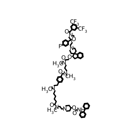 CN(CCCCCC(=O)N(C)CCN1CCC(OC(=O)Nc2ccccc2-c2ccccc2)CC1)CCc1ccc(C(=O)N(C)CCCN(C)C(=O)CO[C@H]2Cc3ccccc3C23CCN(CC[C@@]2(c4ccc(F)cc4)CN(C(=O)c4cc(C(F)(F)F)cc(C(F)(F)F)c4)CO2)CC3)cc1